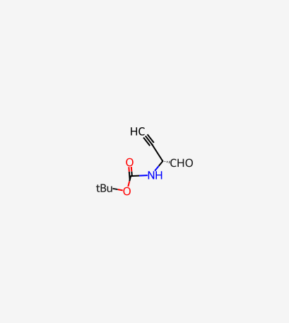 C#C[C@H](C=O)NC(=O)OC(C)(C)C